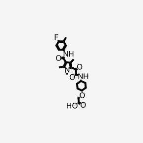 Cc1cc(NC(=O)c2c(C)c(C(=O)C(=O)N[C@H]3CC[C@@H](OCC(=O)O)CC3)n(C)c2C)ccc1F